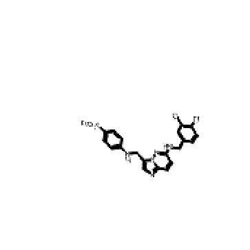 CCOC(=O)c1ccc(NCc2cnc3ccc(NCc4ccc(Cl)c(Cl)c4)nn23)cc1